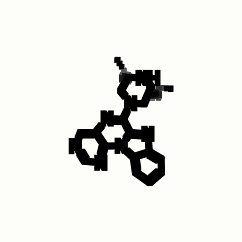 C[C@@H]1CN(c2nc3cncnc3n3c2nc2ccccc23)C[C@H](C)N1